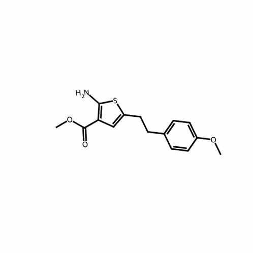 COC(=O)c1cc(CCc2ccc(OC)cc2)sc1N